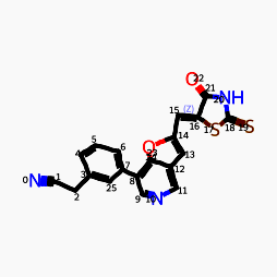 N#CCc1cccc(-c2cncc3cc(/C=C4\SC(=S)NC4=O)oc23)c1